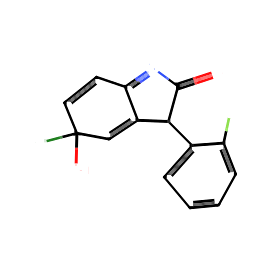 O=C1N=C2C=CC(O)(Cl)C=C2C1c1ccccc1F